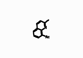 CC(=O)c1cccc2ccc(C)nc12